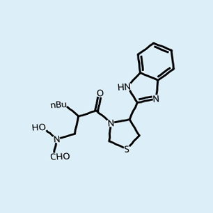 CCCCC(CN(O)C=O)C(=O)N1CSCC1c1nc2ccccc2[nH]1